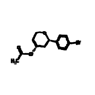 CC(=O)O[C@@H]1CCO[C@@H](c2ccc(Br)cc2)C1